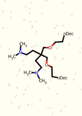 CCCCCCCCCCCCOCC(CCN(C)C)(CCN(C)C)COCCCCCCCCCCCC